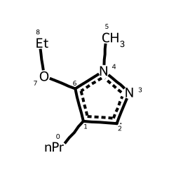 CCCc1[c]nn(C)c1OCC